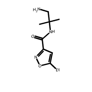 CCc1cc(C(=O)NC(C)(C)CN)no1